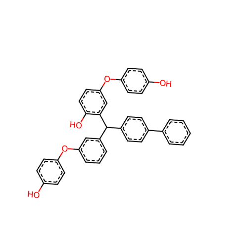 Oc1ccc(Oc2cccc(C(c3ccc(-c4ccccc4)cc3)c3cc(Oc4ccc(O)cc4)ccc3O)c2)cc1